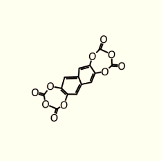 O=c1oc(=O)oc2cc3cc4oc(=O)oc(=O)oc4cc3cc2o1